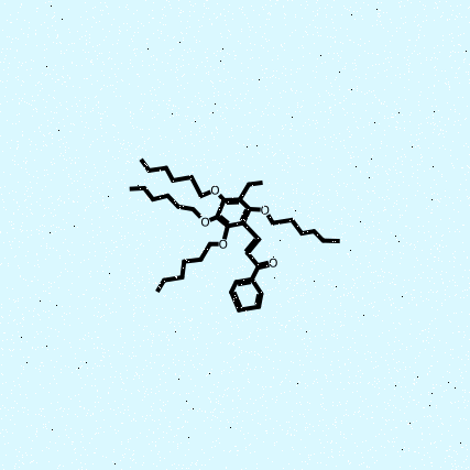 CCCCCCOc1c(C=CC(=O)c2ccccc2)c(OCCCCCC)c(OCCCCCC)c(OCCCCCC)c1CC